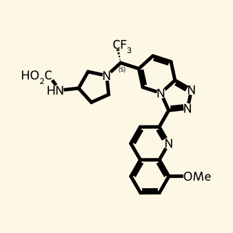 COc1cccc2ccc(-c3nnc4ccc([C@H](N5CCC(NC(=O)O)C5)C(F)(F)F)cn34)nc12